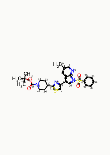 Bc1cnc2c(c1)c(-c1csc(C3CCN(C(=O)OC(C)(C)C)CC3)n1)cn2S(=O)(=O)c1ccccc1